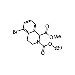 COC(=O)C1c2cccc(Br)c2CCN1C(=O)OC(C)(C)C